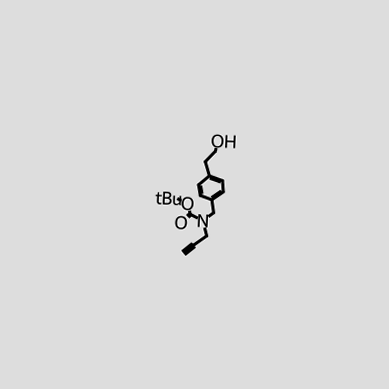 C#CCN(Cc1ccc(CCO)cc1)C(=O)OC(C)(C)C